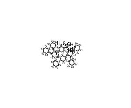 CS(C)(C)c1cc(-c2ccccc2-c2cnc(-c3ccccc3)cc2-c2ccccc2)cc(-c2ccccc2-c2cnc(-c3ccccc3)cc2-c2ccccc2)c1